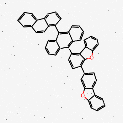 c1ccc2c(c1)ccc1c(-c3c4ccccc4c(-c4ccc(-c5ccc6c(c5)oc5ccccc56)c5oc6ccccc6c45)c4ccccc34)cccc12